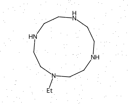 CCN1CCNCCNCCNCC1